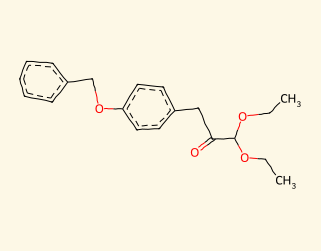 CCOC(OCC)C(=O)Cc1ccc(OCc2ccccc2)cc1